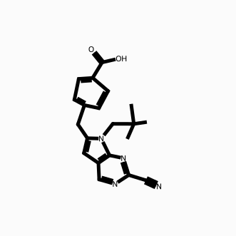 CC(C)(C)Cn1c(Cc2ccc(C(=O)O)cc2)cc2cnc(C#N)nc21